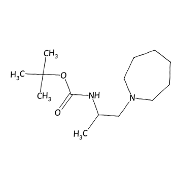 CC(CN1CCCCCC1)NC(=O)OC(C)(C)C